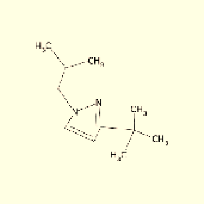 CC(C)Cn1ccc(C(C)(C)C)n1